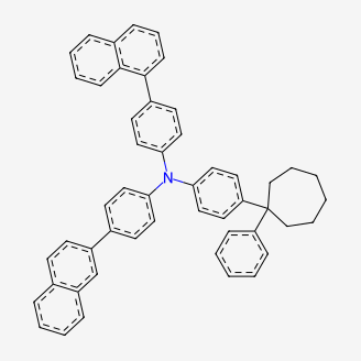 c1ccc(C2(c3ccc(N(c4ccc(-c5ccc6ccccc6c5)cc4)c4ccc(-c5cccc6ccccc56)cc4)cc3)CCCCCC2)cc1